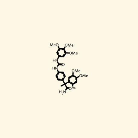 COc1cc(C(C)=O)c(C(C)(C(N)=O)c2ccc(NC(=O)Nc3cc(OC)c(OC)c(OC)c3)cc2)cc1OC